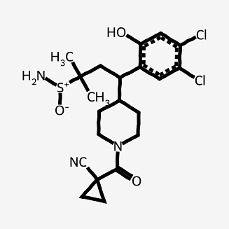 CC(C)(CC(c1cc(Cl)c(Cl)cc1O)C1CCN(C(=O)C2(C#N)CC2)CC1)[S+](N)[O-]